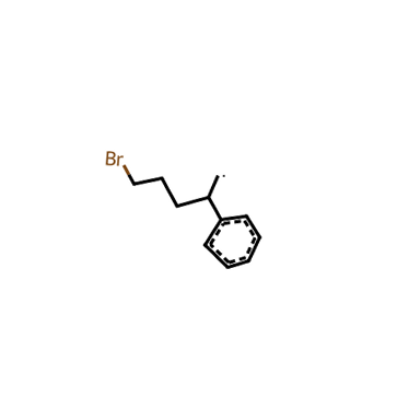 [CH2]C(CCCBr)c1ccccc1